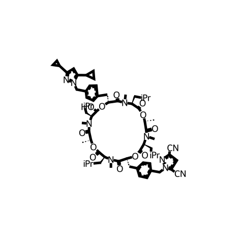 CC(C)C[C@H]1C(=O)O[C@H](Cc2ccc(Cn3nc(C#N)cc3C#N)cc2)C(=O)N(C)[C@@H](CC(C)C)C(=O)O[C@H](C)C(=O)N(C)[C@@H](CC(C)C)C(O)O[C@H](Cc2ccc(Cn3nc(C4CC4)cc3C3CC3)cc2)C(=O)N(C)[C@@H](CC(C)C)C(=O)O[C@H](C)C(=O)N1C